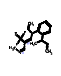 C=CN(/C=C(/C=N\C)C(F)(F)F)c1ccccc1C(C)CC